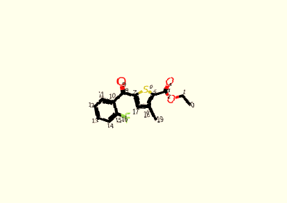 CCOC(=O)c1sc(C(=O)c2ccccc2F)cc1C